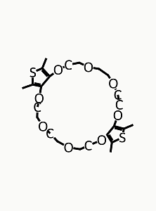 Cc1sc(C)c2c1OCCOCCOCCOc1c(C)sc(C)c1OCCOCCOCCO2